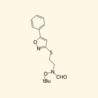 CC(C)(C)ON(C=O)CCSc1cc(-c2ccccc2)on1